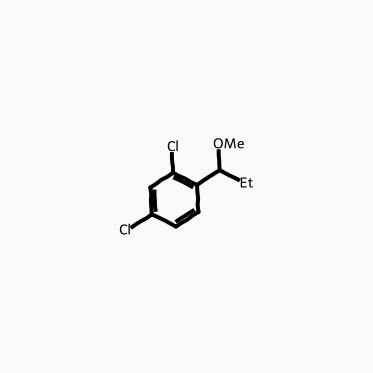 CCC(OC)c1ccc(Cl)cc1Cl